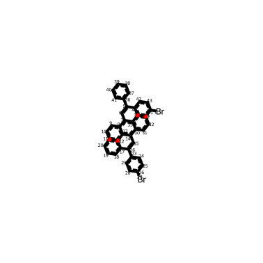 Brc1ccc(C(=Cc2c3ccccc3c(C=C(c3ccccc3)c3ccc(Br)cc3)c3ccccc23)c2ccccc2)cc1